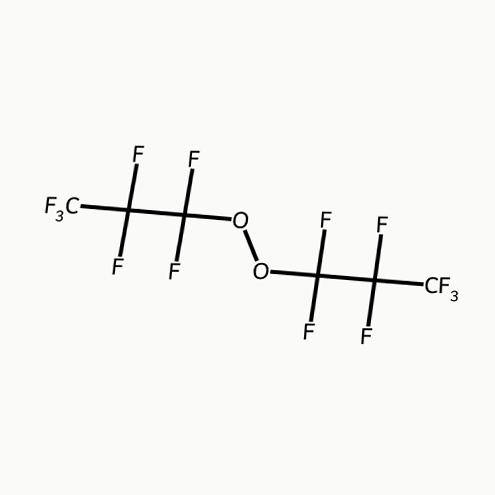 FC(F)(F)C(F)(F)C(F)(F)OOC(F)(F)C(F)(F)C(F)(F)F